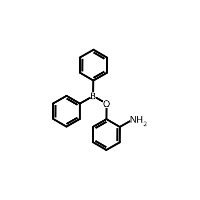 Nc1ccccc1OB(c1ccccc1)c1ccccc1